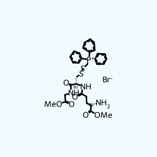 COC(=O)CNC(=O)[C@H](CSSC[P+](c1ccccc1)(c1ccccc1)c1ccccc1)NC(=O)CC[C@H](N)C(=O)OC.[Br-]